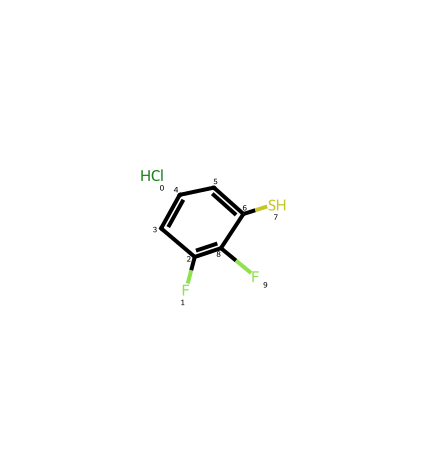 Cl.Fc1cccc(S)c1F